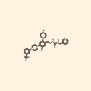 CN1CCN(c2cc(N3CCN(c4cccc(C(F)(F)F)c4)CC3)c(F)cc2C=NNC(=S)NCc2cccnc2)CC1